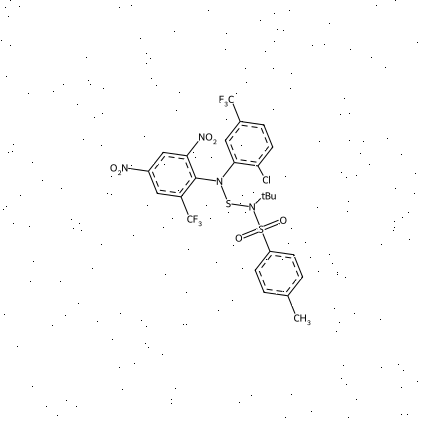 Cc1ccc(S(=O)(=O)N(SN(c2cc(C(F)(F)F)ccc2Cl)c2c([N+](=O)[O-])cc([N+](=O)[O-])cc2C(F)(F)F)C(C)(C)C)cc1